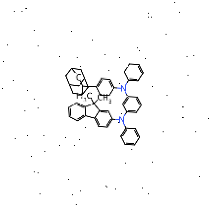 CC1(C)c2ccccc2-c2ccc(N(c3ccccc3)c3cccc(N(C4=CC=CCC4)C4=CC=C(C5CC6CC7CC(C6)CC5C7)CC4)c3)cc21